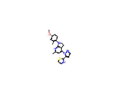 COc1ccc(N2CCc3c(-n4nccc4-c4nccs4)cc(C)nc32)c(C)c1